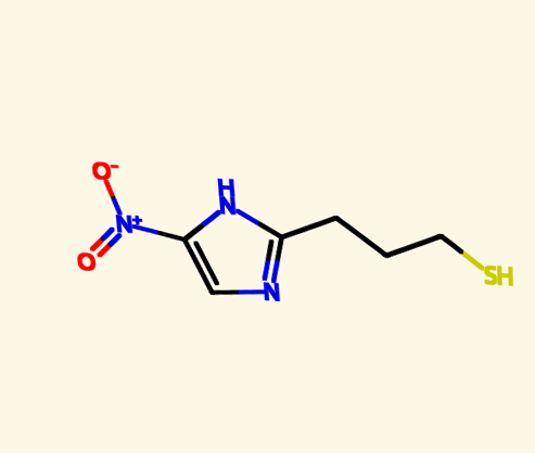 O=[N+]([O-])c1cnc(CCCS)[nH]1